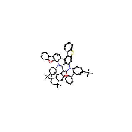 CC(C)(C)c1ccc(N2B3c4c(cc5sc6ccccc6c5c4-c4ccc5c(oc6ccccc65)c42)N(c2ccc(C(C)(C)C)cc2-c2ccccc2)c2oc4cc5c(cc4c23)C(C)(C)CCC5(C)C)cc1